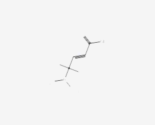 CN(C)C(C)(C)/C=C/C(N)=O